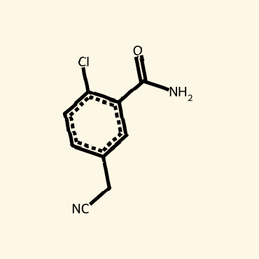 N#CCc1ccc(Cl)c(C(N)=O)c1